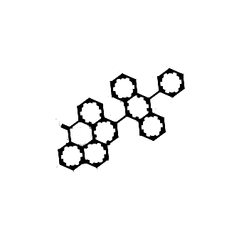 O=C1c2cccc3ccc4cc(-c5c6ccccc6c(-c6ccccc6)c6ccccc56)c5cccc1c5c4c23